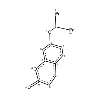 CC(C)C(Oc1ccc2ccc(=O)oc2c1)C(C)C